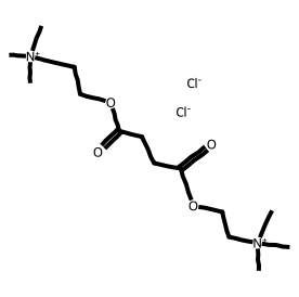 C[N+](C)(C)CCOC(=O)CCC(=O)OCC[N+](C)(C)C.[Cl-].[Cl-]